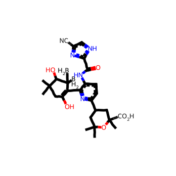 BC1(B)C(c2nc(C3CC(C)(C)OC(C)(C(=O)O)C3)ccc2NC(=O)c2nc(C#N)c[nH]2)=C(O)CC(C)(C)C1O